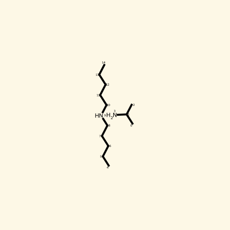 CC(C)N.CCCCCNCCCCC